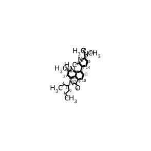 CCCC(CC)N1C(=O)c2ccc(-c3ccc(N(C)C)nc3C)c3nc(C)cc1c23